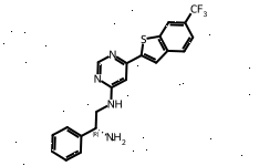 N[C@@H](CNc1cc(-c2cc3ccc(C(F)(F)F)cc3s2)ncn1)c1ccccc1